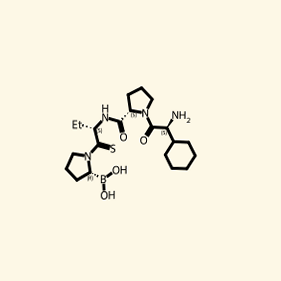 CC[C@H](NC(=O)[C@@H]1CCCN1C(=O)[C@@H](N)C1CCCCC1)C(=S)N1CCC[C@H]1B(O)O